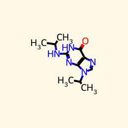 CC(C)Nc1nc2c(ncn2C(C)C)c(=O)[nH]1